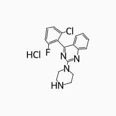 Cl.Fc1cccc(Cl)c1-c1nc(N2CCNCC2)nc2ccccc12